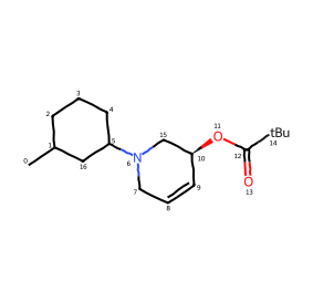 CC1CCCC(N2CC=C[C@H](OC(=O)C(C)(C)C)C2)C1